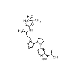 C[C@H](CCn1nncc1[C@H]1CCCN1c1ccn2ncc(C(=O)O)c2n1)NC(=O)OC(C)(C)C